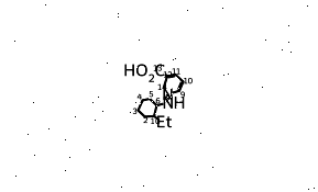 CCC1CCCCC1NN1C=CC=C(C(=O)O)C1